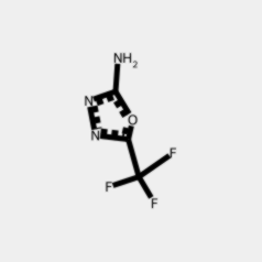 Nc1nnc(C(F)(F)F)o1